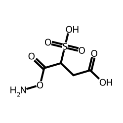 NOC(=O)C(CC(=O)O)S(=O)(=O)O